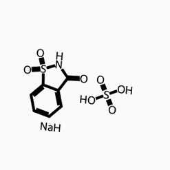 O=C1NS(=O)(=O)c2ccccc21.O=S(=O)(O)O.[NaH]